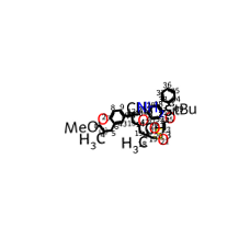 COC(=O)[C@@H](C)Cc1cccc([C@@](C)(CCCC(C)(C)CS(=O)(=O)CCO[Si](c2ccccc2)(c2ccccc2)C(C)(C)C)C(N)=O)c1